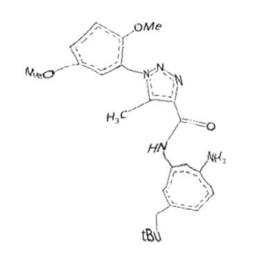 COc1ccc(OC)c(-n2nnc(C(=O)Nc3cc(C(C)(C)C)ccc3N)c2C)c1